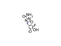 COc1cc(/C=C2/N=C(C(N)=O)N(C)C2=O)cc(F)c1O